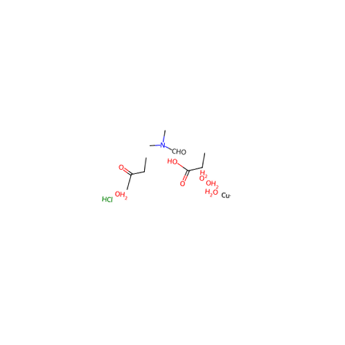 CCC(=O)O.CCC(C)=O.CN(C)C=O.Cl.O.O.O.O.[Cu]